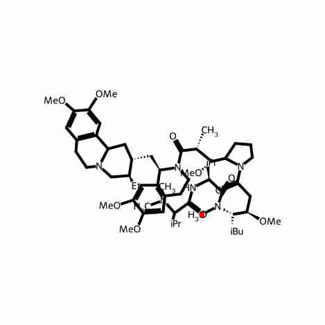 CC[C@H]1CN2CCc3cc(OC)c(OC)cc3C2C[C@@H]1C[C@@H]1c2cc(OC)c(OC)cc2CCN1C(=O)[C@H](C)[C@@H](OC)C1CCCN1C(=O)C[C@@H](OC)[C@H]([C@@H](C)CC)N(C)C(=O)[C@@H](NC(=O)C(C(C)C)N(C)C)C(C)C